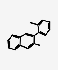 Cc1ccccc1-c1cc2ccccc2cc1C